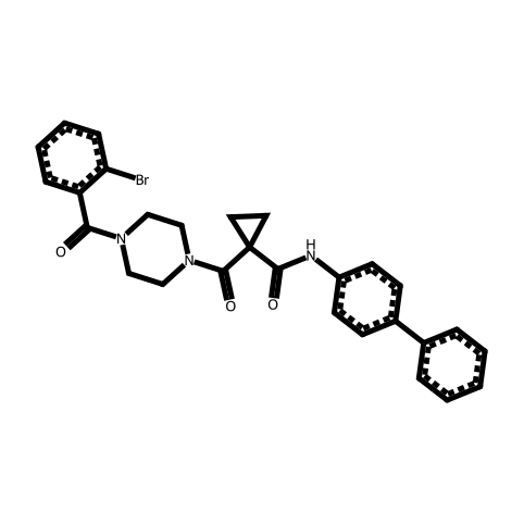 O=C(c1ccccc1Br)N1CCN(C(=O)C2(C(=O)Nc3ccc(-c4ccccc4)cc3)CC2)CC1